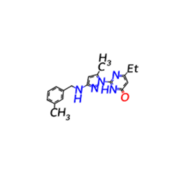 CCc1cc(=O)[nH]c(-n2nc(NCc3cccc(C)c3)cc2C)n1